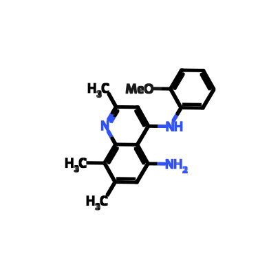 COc1ccccc1Nc1cc(C)nc2c(C)c(C)cc(N)c12